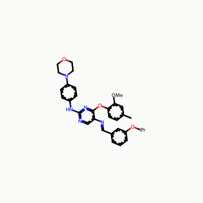 COc1cc(C)ccc1Oc1nc(Nc2ccc(N3CCOCC3)cc2)ncc1N=Cc1cccc(OC(C)C)c1